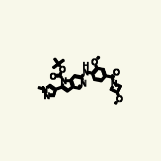 COc1cc(C(=O)N2CC(OC)C2)ccc1Nc1cc2c(cn1)cc(-c1cnn(C)c1)n2C(=O)OC(C)(C)C